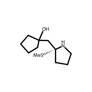 CS[C@@]1(CC2(O)CCCC2)CCCN1